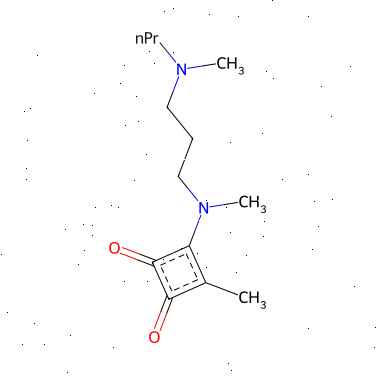 CCCN(C)CCCN(C)c1c(C)c(=O)c1=O